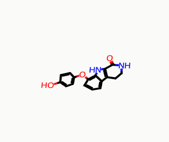 O=C1NCCc2c1[nH]c1c(Oc3ccc(O)cc3)cccc21